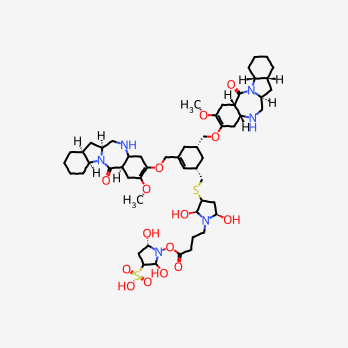 COC1=C(OCC2=C[C@@H](CSC3C[C@@H](O)N(CCCC(=O)ON4C(O)C(S(=O)(=O)O)C[C@@H]4O)[C@H]3O)C[C@@H](COC3=C(OC)C[C@@H]4C(=O)N5[C@H](CN[C@@H]4C3)C[C@H]3CCCC[C@H]35)C2)CC2NC[C@@H]3C[C@@H]4CCCC[C@@H]4N3C(=O)[C@@H]2C1